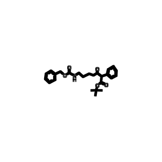 CC(C)(C)OC(=O)C(C(=O)CCCCNC(=O)OCc1ccccc1)c1ccccc1